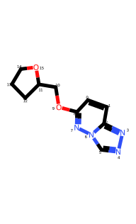 c1cc2nncn2nc1OCC1CCCO1